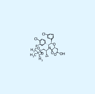 CC(C)(C)S(=O)(=O)C[C@H](C1CC1)N1C(=O)[C@H](CC(=O)O)O[C@H](c2cccc(Cl)c2)[C@H]1c1ccc(Cl)c(F)c1